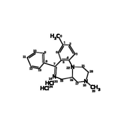 Cc1ccc2c(c1)C(c1ccccc1)=NCC1CN(C)CCN21.Cl.Cl